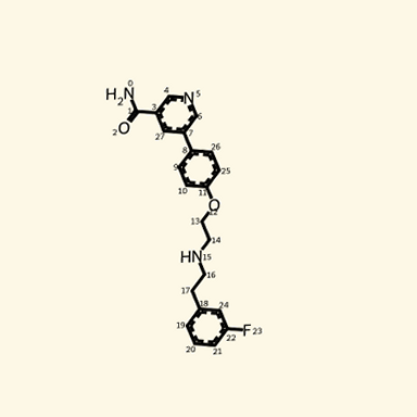 NC(=O)c1cncc(-c2ccc(OCCNCCc3cccc(F)c3)cc2)c1